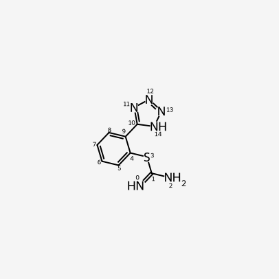 N=C(N)Sc1ccccc1-c1nnn[nH]1